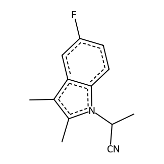 Cc1c(C)n(C(C)C#N)c2ccc(F)cc12